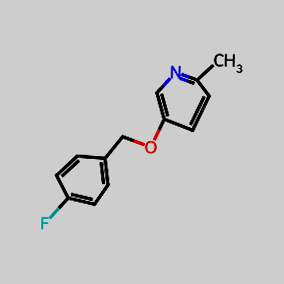 Cc1ccc(OCc2ccc(F)cc2)cn1